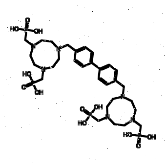 O=P(O)(O)CN1CCN(Cc2ccc(-c3ccc(CN4CCN(CP(=O)(O)O)CCN(CP(=O)(O)O)CC4)cc3)cc2)CCN(CP(=O)(O)O)CC1